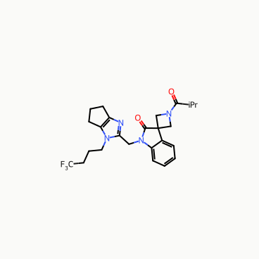 CC(C)C(=O)N1CC2(C1)C(=O)N(Cc1nc3c(n1CCCC(F)(F)F)CCC3)c1ccccc12